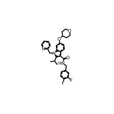 CC(C)c1c(C(=O)NCc2ccc(F)c(F)c2)c2ccc(OC3CCOCC3)cc2n1Cc1ccccn1